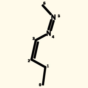 CC/C=C\N=N/C